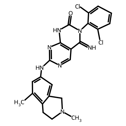 Cc1cc(Nc2ncc3c(=N)n(-c4c(Cl)cccc4Cl)c(=O)[nH]c3n2)cc2c1CCN(C)C2